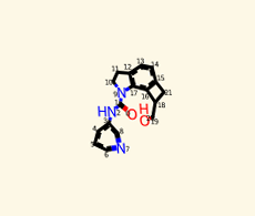 O=C(Nc1cccnc1)N1CCc2ccc3c(c21)C(CO)C3